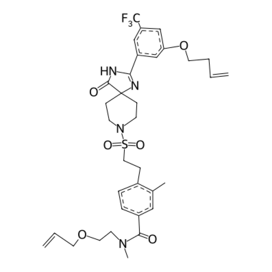 C=CCCOc1cc(C2=NC3(CCN(S(=O)(=O)CCc4ccc(C(=O)N(C)CCOCC=C)cc4C)CC3)C(=O)N2)cc(C(F)(F)F)c1